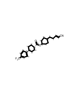 N#C/C=C/CCC1CCC(OC(=O)[C@H]2CC[C@H](c3ccc(C(F)(F)F)cc3)CC2)CC1